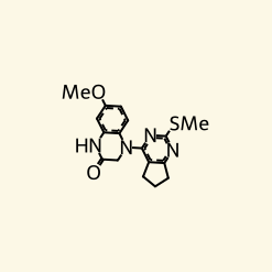 COc1ccc2c(c1)NC(=O)CN2c1nc(SC)nc2c1CCC2